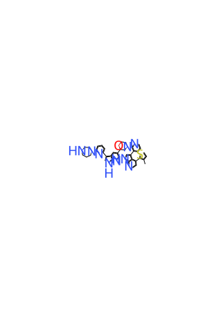 Cc1ccsc1-c1ccnc2[nH]cc(-c3cccnc3N3CCOC(c4cnc5[nH]cc(-c6cccc(N7CCCNCC7)n6)c5c4)C3)c12